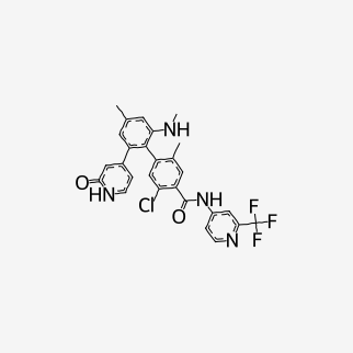 CNc1cc(C)cc(-c2cc[nH]c(=O)c2)c1-c1cc(Cl)c(C(=O)Nc2ccnc(C(F)(F)F)c2)cc1C